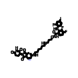 C=C(/C=C\C1=C(C)C(=O)N(C2CCC(=O)NC2=O)C1=O)NCCCCCCNCCCONC(=O)c1ccc(F)c(F)c1Nc1ccc(I)cc1F